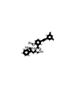 Cc1cc(C)cc(C#Cc2ccc(OC(C)C)c(C(=O)N[C@@H](CO)Cc3c[nH]c4ccccc34)c2)c1